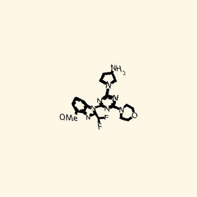 COc1cccc2c1nc(C(F)F)n2-c1nc(N2CCOCC2)nc(N2CCC(N)C2)n1